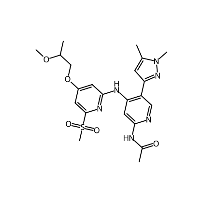 COC(C)COc1cc(Nc2cc(NC(C)=O)ncc2-c2cc(C)n(C)n2)nc(S(C)(=O)=O)c1